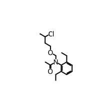 CCc1cccc(CC)c1N(COCCC(C)Cl)C(C)=O